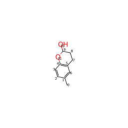 Cc1ccc2c(c1)CCC(O)O2